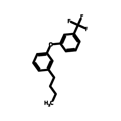 CCCCc1cccc(Oc2cccc(C(F)(F)F)c2)c1